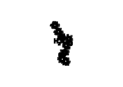 N=C(/N=C(\N)c1cccc2oc3cc(-c4ccc5c(c4)oc4ccc6ccccc6c45)ccc3c12)c1ccc(-c2ccccc2)cc1